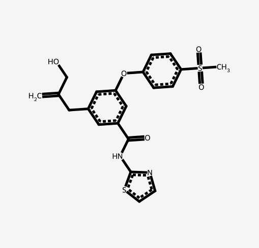 C=C(CO)Cc1cc(Oc2ccc(S(C)(=O)=O)cc2)cc(C(=O)Nc2nccs2)c1